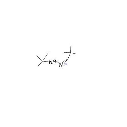 CC(C)(C)/C=N\CNC(C)(C)C